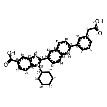 O=C(O)Cc1cccc(-c2ccc3cc(-c4nc5cc(C(=O)O)ccc5n4C4CCCCC4)ccc3n2)c1